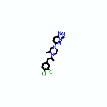 C=C(Cc1ccc(Cl)c(Cl)c1)N1CCN(c2ccc3nncn3n2)CC1C